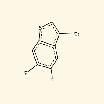 Fc1cc2scc(Br)c2cc1F